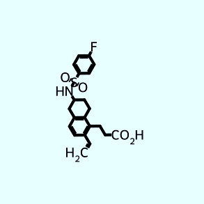 C=Cc1ccc2c(c1CCC(=O)O)CCC(NS(=O)(=O)c1ccc(F)cc1)C2